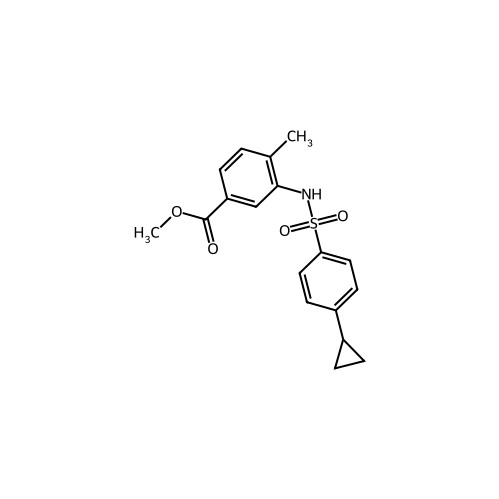 COC(=O)c1ccc(C)c(NS(=O)(=O)c2ccc(C3CC3)cc2)c1